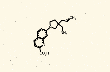 C=CCC1(CN)CCN(c2ccc3ccc(C(=O)O)nc3c2)C1